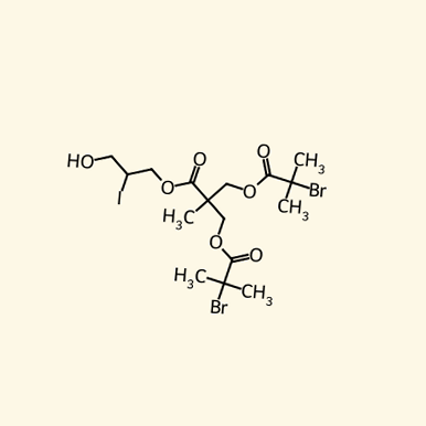 CC(C)(Br)C(=O)OCC(C)(COC(=O)C(C)(C)Br)C(=O)OCC(I)CO